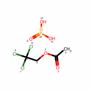 CC(=O)OCC(Cl)(Cl)Cl.O=[PH](O)O